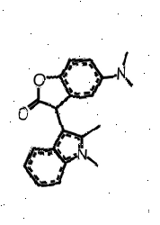 Cc1c(C2C(=O)Oc3ccc(N(C)C)cc32)c2ccccc2n1C